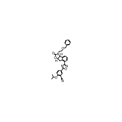 CC(C)Oc1ccc(-c2nc(-c3cccc4c3C[C@H]3OC(=O)N(CCOCc5ccccc5)[C@@H]43)no2)cc1C#N